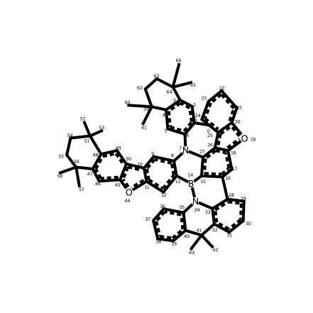 Cc1cc2c(cc1N1c3cc4c(cc3B3c5c(cc6oc7ccccc7c6c51)-c1cccc5c1N3c1ccccc1C5(C)C)oc1cc3c(cc14)C(C)(C)CCC3(C)C)C(C)(C)CCC2(C)C